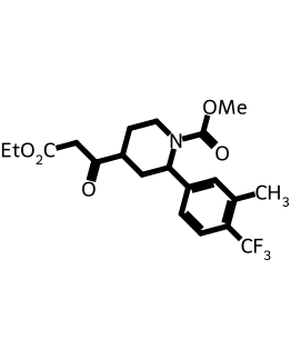 CCOC(=O)CC(=O)C1CCN(C(=O)OC)C(c2ccc(C(F)(F)F)c(C)c2)C1